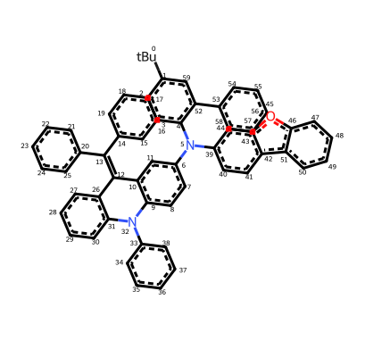 CC(C)(C)c1ccc(N(c2ccc3c(c2)C(=C(c2ccccc2)c2ccccc2)c2ccccc2N3c2ccccc2)c2ccc3c(c2)oc2ccccc23)c(-c2ccccc2)c1